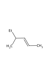 [CH2]C(C=CC)CC